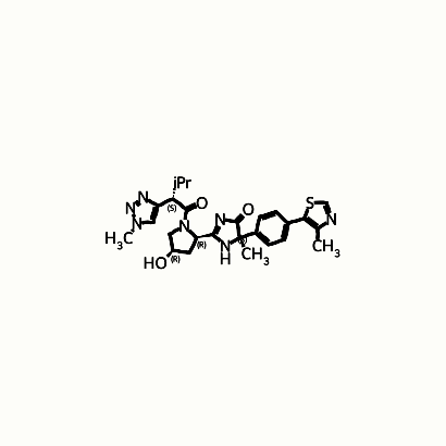 Cc1ncsc1-c1ccc([C@]2(C)NC([C@H]3C[C@@H](O)CN3C(=O)[C@H](c3cn(C)nn3)C(C)C)=NC2=O)cc1